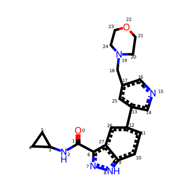 O=C(NC1CC1)c1n[nH]c2ccc(-c3cncc(CN4CCOCC4)c3)cc12